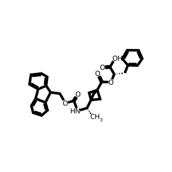 C[C@H](NC(=O)OCC1c2ccccc2-c2ccccc21)C12CC(C(=O)O[C@@H](Cc3ccccc3)C(=O)O)(C1)C2